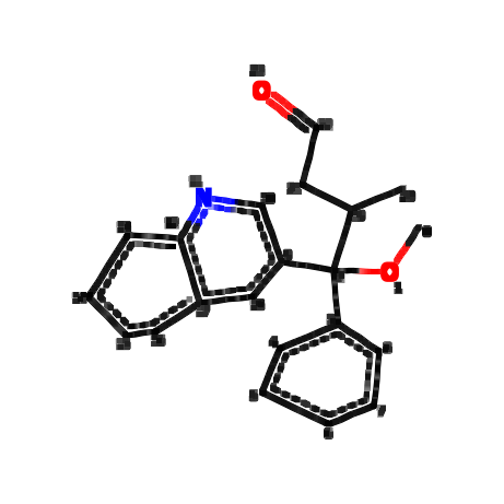 COC(c1ccccc1)(c1cnc2ccccc2c1)C(C)CC=O